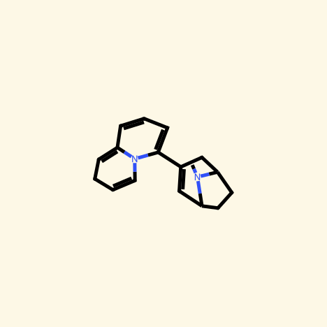 CN1C2C=C(C3=CC=CC4=CCC=CN43)CC1CC2